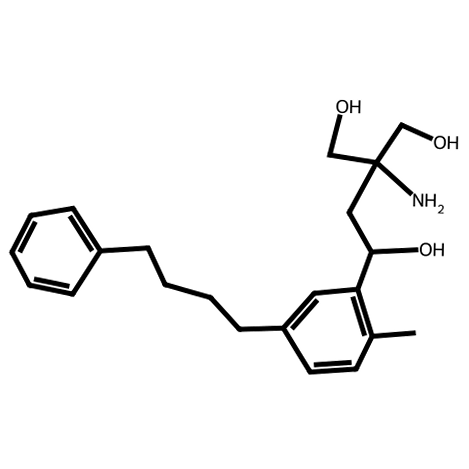 Cc1ccc(CCCCc2ccccc2)cc1C(O)CC(N)(CO)CO